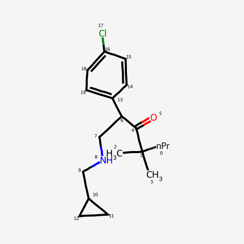 CCCC(C)(C)C(=O)C(CNCC1CC1)c1ccc(Cl)cc1